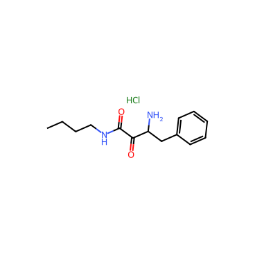 CCCCNC(=O)C(=O)C(N)Cc1ccccc1.Cl